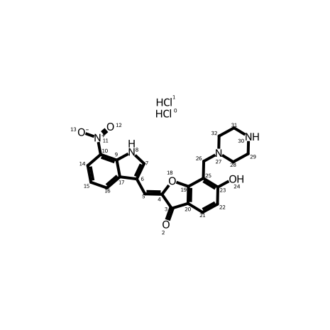 Cl.Cl.O=C1C(=Cc2c[nH]c3c([N+](=O)[O-])cccc23)Oc2c1ccc(O)c2CN1CCNCC1